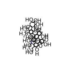 Bc1c(B)c(C2=C(O)CC(O)=C(O)C(O)=C2O)c(B)c(-c2c3ccccc3c(-c3c(O)c(O)c(O)c4oc5c(O)c(C(C)CO)c(/C(O)=C(/O)CO)c(B)c5c34)c3ccccc23)c1O